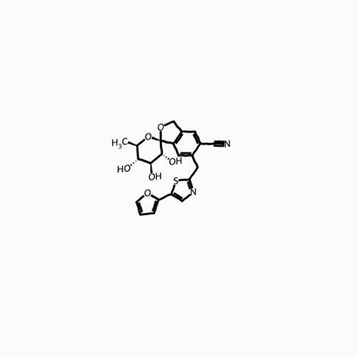 C[C@H]1O[C@]2(OCc3cc(C#N)c(Cc4ncc(-c5ccco5)s4)cc32)[C@H](O)[C@@H](O)[C@@H]1O